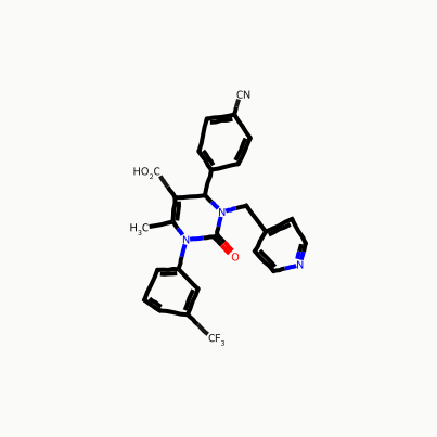 CC1=C(C(=O)O)C(c2ccc(C#N)cc2)N(Cc2ccncc2)C(=O)N1c1cccc(C(F)(F)F)c1